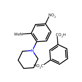 CNc1cc([N+](=O)[O-])ccc1N1CCCCC1.O=C(O)c1cccc(C(=O)O)c1